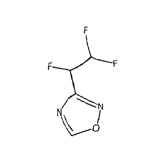 FC(F)C(F)c1ncon1